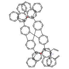 C=C/C(=c1/ccccc1=C)N(c1ccccc1)c1ccc2c(c1)C1(c3cc(N(c4ccccc4)c4cccc5ccccc45)ccc3-2)c2cc(N(c3ccccc3)c3cccc4ccccc34)ccc2-c2ccc(N(c3ccccc3)c3cccc4ccccc34)cc21